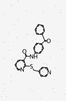 O=C(c1ccccc1)c1ccc(NC(=O)c2cccnc2SCc2ccncc2)cc1